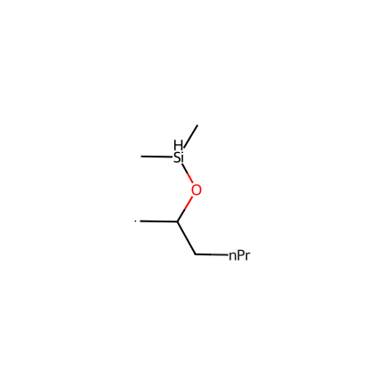 [CH2]C(CCCC)O[SiH](C)C